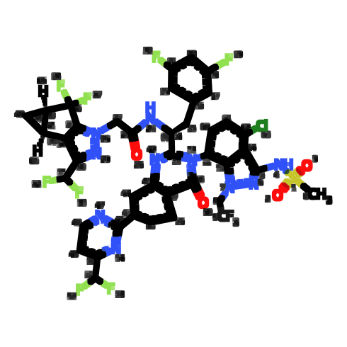 CS(=O)(=O)Nc1nn(CC(F)(F)F)c2c(-n3c([C@H](Cc4cc(F)cc(F)c4)NC(=O)Cn4nc(C(F)F)c5c4C(F)(F)[C@@H]4C[C@H]54)nc4cc(-c5nccc(C(F)F)n5)ccc4c3=O)ccc(Cl)c12